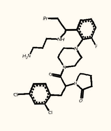 CC(C)CC(NCCCN)c1cccc(F)c1N1CCN(C(=O)C(Cc2ccc(Cl)cc2Cl)N2CCCC2=O)CC1